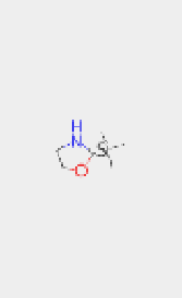 C[Si](C)(C)C1NCCO1